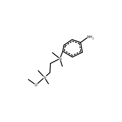 CO[Si](C)(C)CC[Si](C)(C)c1ccc(N)cc1